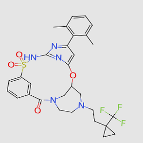 Cc1cccc(C)c1-c1cc2nc(n1)NS(=O)(=O)c1cccc(c1)C(=O)N1CCN(CCC3(C(F)(F)F)CC3)CC(C1)O2